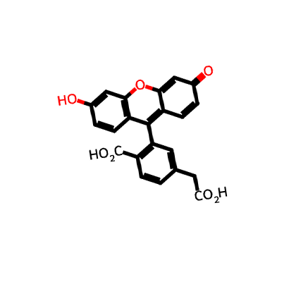 O=C(O)Cc1ccc(C(=O)O)c(-c2c3ccc(=O)cc-3oc3cc(O)ccc23)c1